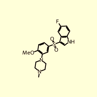 COc1ccc(S(=O)(=O)c2c[nH]c3ccc(F)cc23)cc1N1CCN(C)CC1